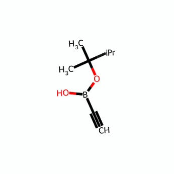 C#CB(O)OC(C)(C)C(C)C